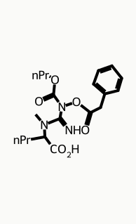 CCCOC(=O)N(OC(=O)Cc1ccccc1)C(=N)N(C)C(CCC)C(=O)O